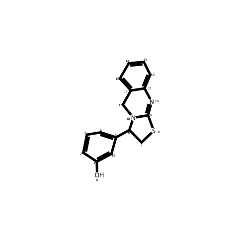 Oc1cccc(C2CSC3=Nc4ccccc4CN32)c1